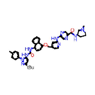 Cc1ccc(-n2nc(C(C)(C)C)cc2NC(=O)Nc2ccc(OCc3ccnc(Nc4cnc(C(=O)NC5CCCN(C)C5)cn4)c3)c3ccccc23)cc1